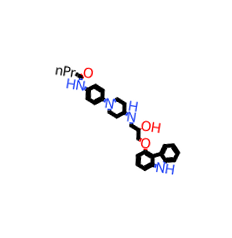 CCCC(=O)Nc1ccc(N2CCC(NC[C@H](O)COc3cccc4[nH]c5ccccc5c34)CC2)cc1